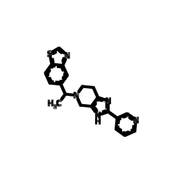 CC(c1ccc2scnc2c1)N1CCc2nc(-c3cccnc3)[nH]c2C1